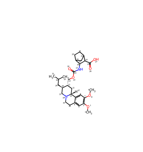 COc1cc2c(cc1OC)[C@H]1C[C@@H](COC(=O)NC3C4CCC(C4)C3C(=O)O)[C@H](CC(C)C)CN1CC2